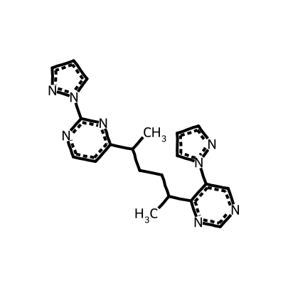 CC(CCC(C)c1ncncc1-n1cccn1)c1ccnc(-n2cccn2)n1